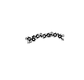 N#Cc1ccc(O[C@H]2CC[C@H](NC(=O)c3ccc(C4CCN(CC(=O)N5CCC(n6ccc7c(N8CCC(=O)NC8=O)cccc76)CC5)CC4)nn3)CC2)cc1Cl